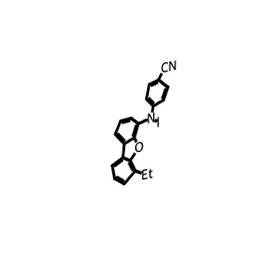 CCc1cccc2c1oc1c(N(I)c3ccc(C#N)cc3)cccc12